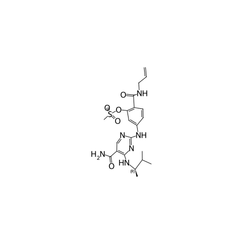 C=CCNC(=O)c1ccc(Nc2ncc(C(N)=O)c(N[C@H](C)C(C)C)n2)cc1OS(C)(=O)=O